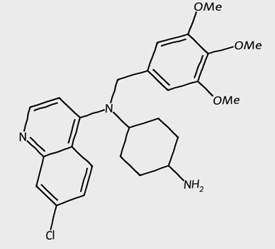 COc1cc(CN(c2ccnc3cc(Cl)ccc23)C2CCC(N)CC2)cc(OC)c1OC